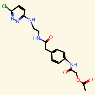 CC(=O)OCC(=O)Nc1ccc(CC(=O)NCCNc2ccc(Cl)nn2)cc1